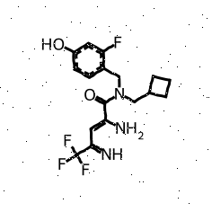 N=C(/C=C(\N)C(=O)N(Cc1ccc(O)cc1F)CC1CCC1)C(F)(F)F